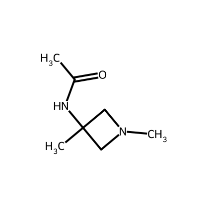 CC(=O)NC1(C)CN(C)C1